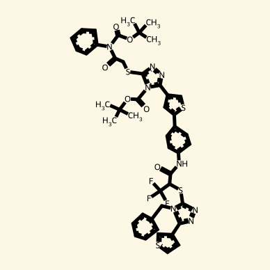 CC(C)(C)OC(=O)N(C(=O)CSc1nnc(-c2csc(-c3ccc(NC(=O)C(Sc4nnc(-c5ccsc5)n4Cc4ccccc4)C(F)(F)F)cc3)c2)n1C(=O)OC(C)(C)C)c1ccccc1